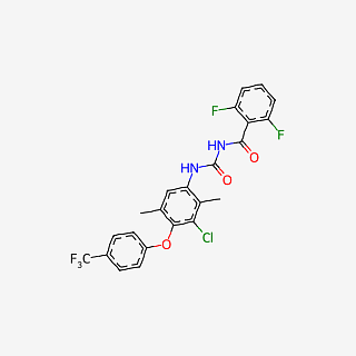 Cc1cc(NC(=O)NC(=O)c2c(F)cccc2F)c(C)c(Cl)c1Oc1ccc(C(F)(F)F)cc1